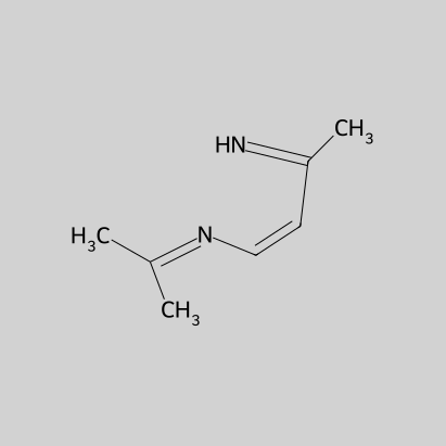 CC(=N)/C=C\N=C(C)C